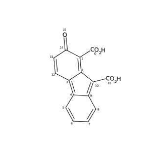 O=C(O)C1=C2C(=c3ccccc3=C2C(=O)O)C=CC1=O